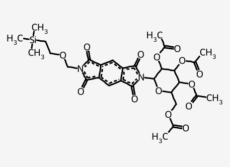 CC(=O)OCC1OC(n2c(=O)c3cc4c(=O)n(COCC[Si](C)(C)C)c(=O)c4cc3c2=O)C(OC(C)=O)C(OC(C)=O)C1OC(C)=O